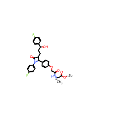 C[C@H](NC(=O)COc1ccc(C2C(CCC(O)c3ccc(F)cc3)C(=O)N2c2ccc(F)cc2)cc1)C(=O)OC(C)(C)C